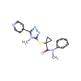 CN(C(=O)C1(Sc2nnc(-c3ccncc3)n2C)CC1)c1ccccc1